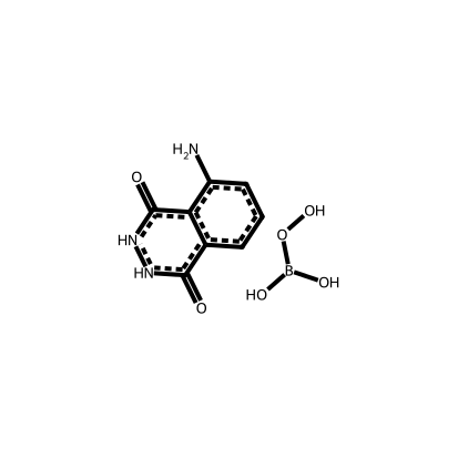 Nc1cccc2c(=O)[nH][nH]c(=O)c12.OOB(O)O